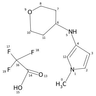 Cn1ccc(NC2CCOCC2)c1.O=C(O)C(F)(F)F